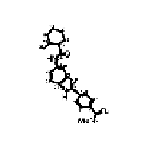 CNC(=O)c1ccc(-c2nc3cc(NC(=O)C4CCCCC4C)ccc3[nH]2)cc1